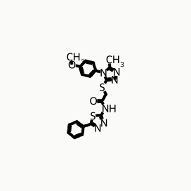 COc1ccc(-n2c(C)nnc2SCC(=O)Nc2nnc(-c3ccccc3)s2)cc1